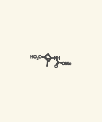 COC(=O)NC12CC(C(=O)O)(C1)C2C